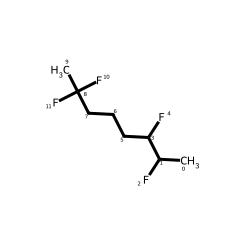 CC(F)C(F)CCCC(C)(F)F